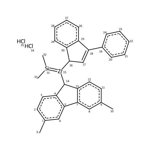 Cc1ccc2c(c1)-c1cc(C)ccc1[CH]2[Zr]([CH]1C=C(c2ccccc2)c2ccccc21)=[Si](C)C.Cl.Cl